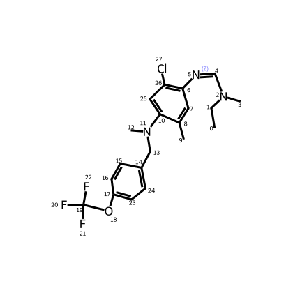 CCN(C)/C=N\c1cc(C)c(N(C)Cc2ccc(OC(F)(F)F)cc2)cc1Cl